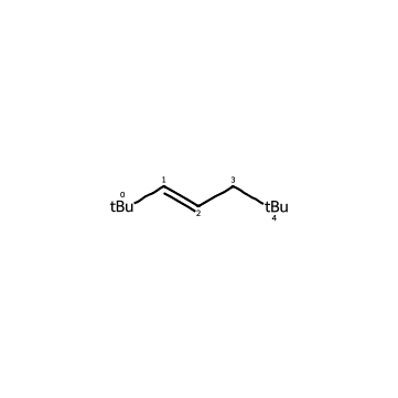 [CH2]C(C)(C)C=CCC(C)(C)C